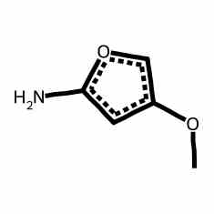 COc1coc(N)c1